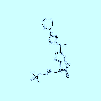 CC(c1ccc2c(c1)sc(=O)n2COCC[Si](C)(C)C)c1ccn(C2CCCCO2)n1